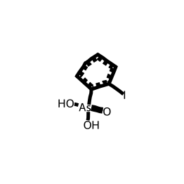 O=[As](O)(O)c1ccccc1I